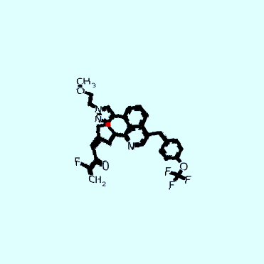 C=C(F)C(=O)/C=C1/CCC(c2ncc(Cc3ccc(OC(F)(F)F)cc3)c3cccc(-c4cnn(CCOC)c4)c23)C1